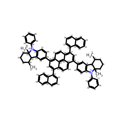 CC1CCCC2(C)C1c1cc(-c3cc(-c4cccc5ccccc45)c4ccc5c(-c6ccc7c(c6)C6C(C)CCCC6(C)N7c6ccccc6)cc(-c6cccc7ccccc67)c6ccc3c4c56)ccc1N2c1ccccc1